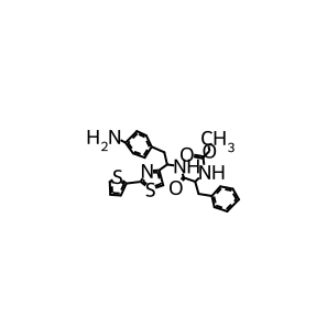 COC(=O)NC(Cc1ccccc1)C(=O)NC(Cc1ccc(N)cc1)c1csc(-c2cccs2)n1